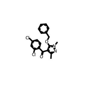 Cc1nn(C)c(OCc2ccccc2)c1C(=O)c1ccc(Cl)cc1Cl